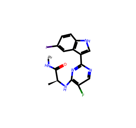 CC(C)NC(=O)[C@H](C)Nc1nc(-c2c[nH]c3ccc(I)cc23)ncc1F